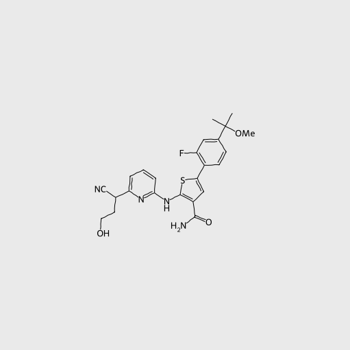 COC(C)(C)c1ccc(-c2cc(C(N)=O)c(Nc3cccc(C(C#N)CCO)n3)s2)c(F)c1